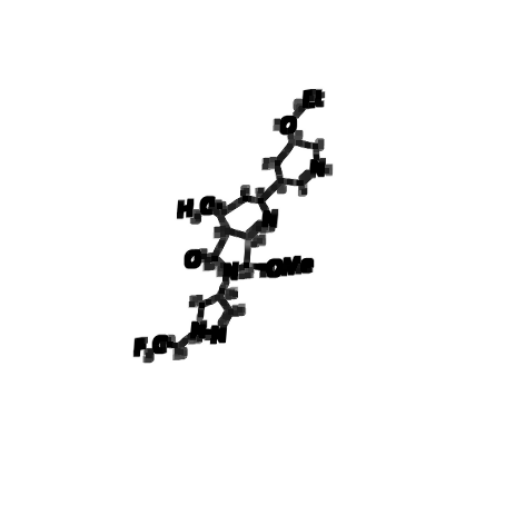 CCOC1CN=CC(C2CC(C)C3C(=O)N(C4C=NN(CC(F)(F)F)C4)[C@H](OC)C3=N2)C1